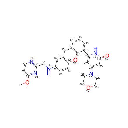 COc1ccnc(CNc2ccc3c(c2)Cc2cccc(-c4cc(N5CCOCC5)cc(=O)[nH]4)c2O3)n1